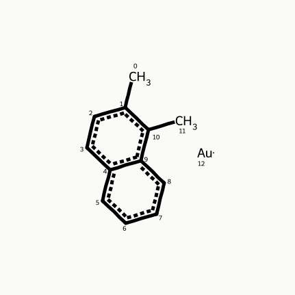 Cc1ccc2ccccc2c1C.[Au]